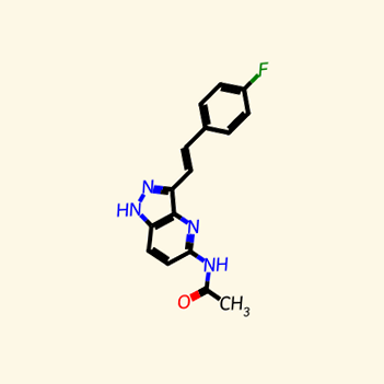 CC(=O)Nc1ccc2[nH]nc(/C=C/c3ccc(F)cc3)c2n1